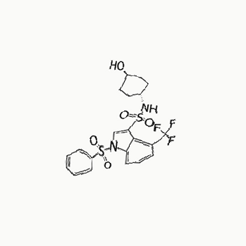 O=S(=O)(N[C@H]1CC[C@H](O)CC1)c1cn(S(=O)(=O)c2ccccc2)c2cccc(C(F)(F)F)c12